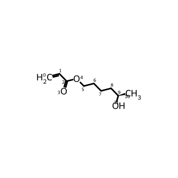 C=CC(=O)OCCCC[C@@H](C)O